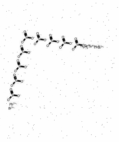 O=[Si]([O-])[O-].O=[Si]([O-])[O-].O=[Si]([O-])[O-].O=[Si]([O-])[O-].O=[Si]([O-])[O-].O=[Si]([O-])[O-].O=[Si]([O-])[O-].O=[Si]([O-])[O-].O=[Si]([O-])[O-].[Bi+3].[Bi+3].[Pb+2].[Pb+2].[TeH6+4].[TeH6+4]